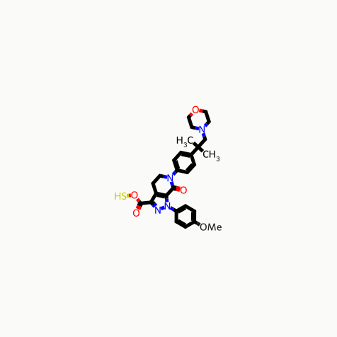 COc1ccc(-n2nc(C(=O)OS)c3c2C(=O)N(c2ccc(C(C)(C)CN4CCOCC4)cc2)CC3)cc1